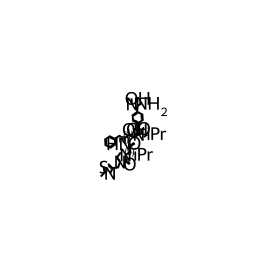 Cc1nc(CN2CCN([C@H](C(=O)N[C@@H](Cc3ccccc3)[C@@H](O)CN(CC(C)C)S(=O)(=O)c3ccc(C(N)=NO)cc3)C(C)C)C2=O)cs1